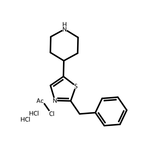 CC(=O)Cl.Cl.Cl.c1ccc(Cc2ncc(C3CCNCC3)s2)cc1